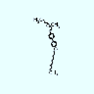 CCCCCCCCCCOc1ccc(-c2ccc(CCC(C)OCCCC)cc2)cc1